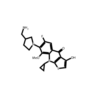 COc1c(N2CCC(CN)C2)c(F)cc2c(=O)c3c(O)csc3n(C3CC3)c12